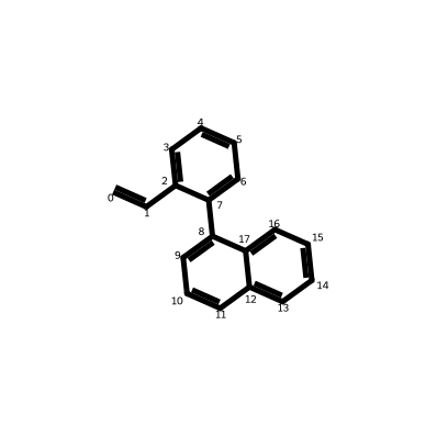 C=Cc1ccccc1-c1cccc2ccccc12